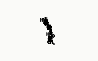 Cc1ccc(C(=O)NCCCc2ccc(-c3ccc4[nH]ncc4c3)cc2)cn1